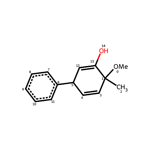 COC1(C)C=CC(c2ccccc2)C=C1O